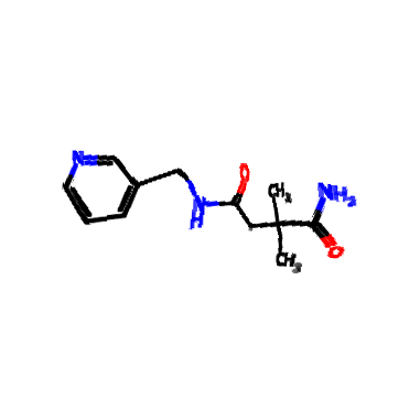 CC(C)([CH]C(=O)NCc1cccnc1)C(N)=O